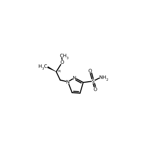 CO[C@H](C)Cn1ccc(S(N)(=O)=O)n1